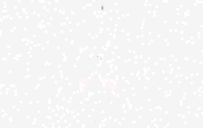 CC(=O)OC(C)(C)OC(=O)NCC(CC(=O)O)CC(C)C